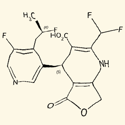 C[C@@H](F)c1c(F)cncc1[C@@H]1C2=C(COC2=O)NC(C(F)F)=C1C(=O)O